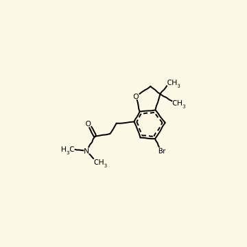 CN(C)C(=O)CCc1cc(Br)cc2c1OCC2(C)C